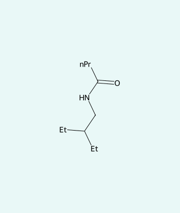 CCCC(=O)NCC(CC)CC